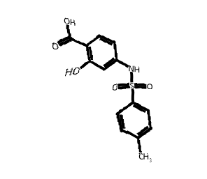 Cc1ccc(S(=O)(=O)Nc2ccc(C(=O)O)c(O)c2)cc1